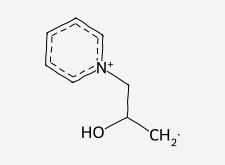 [CH2]C(O)C[n+]1ccccc1